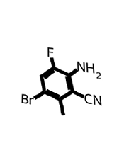 Cc1c(Br)cc(F)c(N)c1C#N